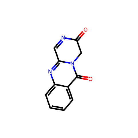 O=C1Cn2c(nc3ccccc3c2=O)C=N1